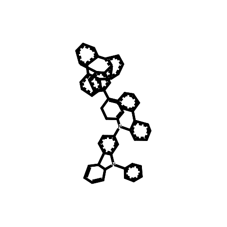 C1=CC2c3ccc(N(C4=CC=C(c5ccc6c(c5)-c5c7cccc5-c5cccc-6c5-c5ccccc5-7)CC4)c4ccccc4-c4ccccc4)cc3N(c3ccccc3)C2C=C1